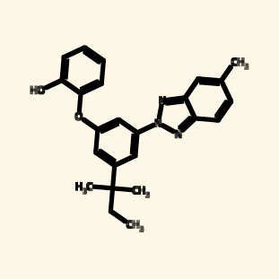 CCC(C)(C)c1cc(Oc2ccccc2O)cc(-n2nc3ccc(C)cc3n2)c1